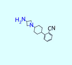 N#Cc1ccccc1C1CCC(N2CC(N)C2)CC1